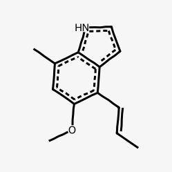 CC=Cc1c(OC)cc(C)c2[nH]ccc12